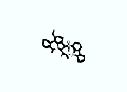 CCc1ccc2c(c1-c1ccccc1C(C)C)C=C(C(C)CC)[CH]2[Zr]([Cl])([Cl])[c]1cccc2c1[SiH2]c1ccccc1-2